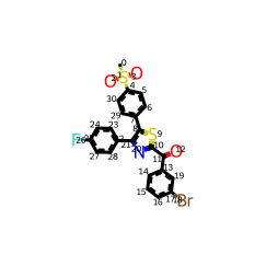 CS(=O)(=O)c1ccc(-c2sc(C(=O)c3cccc(Br)c3)nc2-c2ccc(F)cc2)cc1